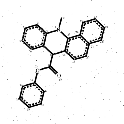 CN1c2ccccc2C(C(=O)Oc2ccccc2)c2ccc3ccccc3c21